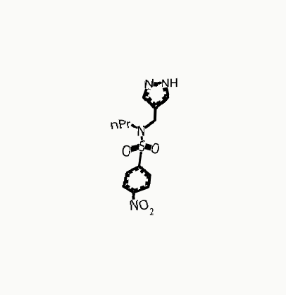 CCCN(Cc1cn[nH]c1)S(=O)(=O)c1ccc([N+](=O)[O-])cc1